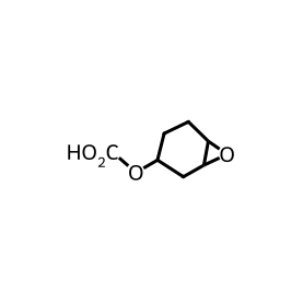 O=C(O)OC1CCC2OC2C1